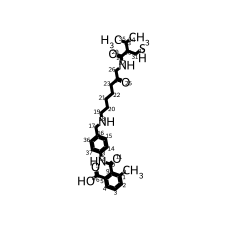 Cc1cccc(C(=O)O)c1C(=O)Nc1ccc(CNCCCCCC(=O)CNC(=O)C(CS)C(C)C)cc1